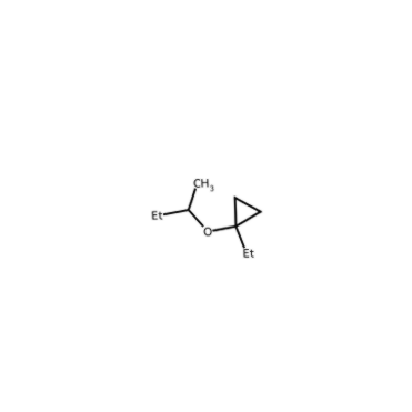 CCC(C)OC1(CC)CC1